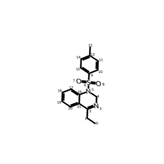 CCC1=NCN(S(=O)(=O)c2ccc(C)cc2)c2ccccc21